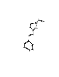 O=Cn1ccc(C=Cc2ccccc2)n1